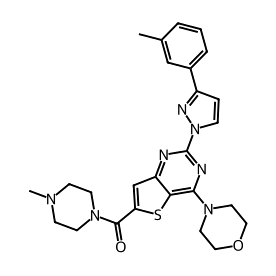 Cc1cccc(-c2ccn(-c3nc(N4CCOCC4)c4sc(C(=O)N5CCN(C)CC5)cc4n3)n2)c1